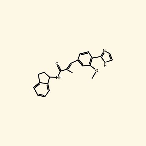 COc1cc(/C=C(\C)C(=O)NC2CCc3ccccc32)ccc1-c1ncc[nH]1